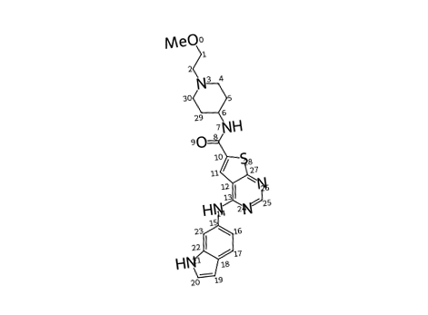 COCCN1CCC(NC(=O)c2cc3c(Nc4ccc5cc[nH]c5c4)ncnc3s2)CC1